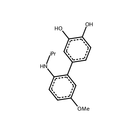 COc1ccc(NC(C)C)c(-c2ccc(O)c(O)c2)c1